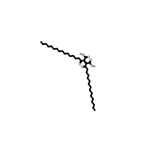 CCCCCCCCCCCCCCCC(=O)/C(C(=O)O)=C(/C(=O)O)C(=O)CCCCCCCCCCCCCCC